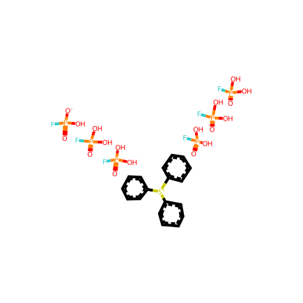 O=P(O)(O)F.O=P(O)(O)F.O=P(O)(O)F.O=P(O)(O)F.O=P(O)(O)F.O=P([O-])(O)F.c1ccc([S+](c2ccccc2)c2ccccc2)cc1